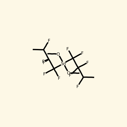 C[O][Sn]([O]C)([C](F)(F)C(F)(F)C(C)F)[C](F)(F)C(F)(F)C(C)F